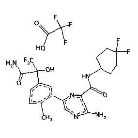 Cc1ccc(C(O)(C(N)=O)C(F)(F)F)cc1-c1cnc(N)c(C(=O)NC2CCC(F)(F)CC2)n1.O=C(O)C(F)(F)F